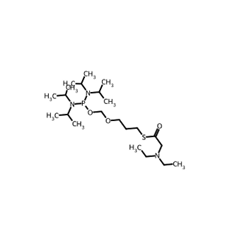 CCN(CC)CC(=O)SCCCOCOP(N(C(C)C)C(C)C)N(C(C)C)C(C)C